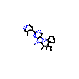 C=CC1(C)c2ccccc2N2c3cnc(-c4ccncc4C)nc3N(C)C2C1C